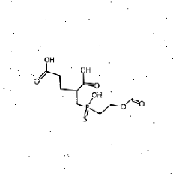 O=COCCP(O)(=S)CC(CCC(=O)O)C(=O)O